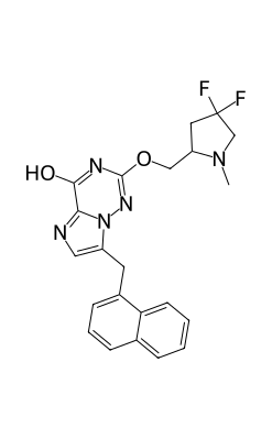 CN1CC(F)(F)CC1COc1nc(O)c2ncc(Cc3cccc4ccccc34)n2n1